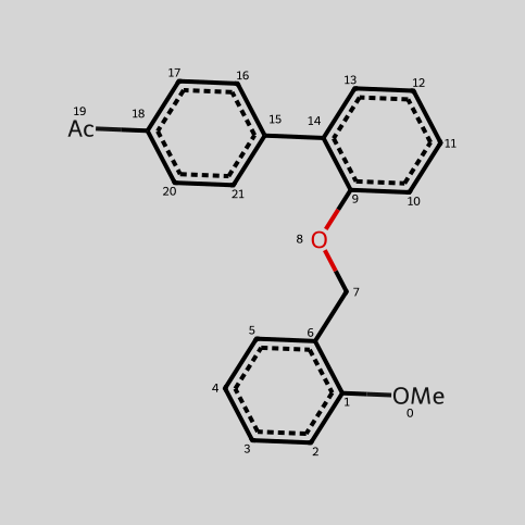 COc1ccccc1COc1ccccc1-c1ccc(C(C)=O)cc1